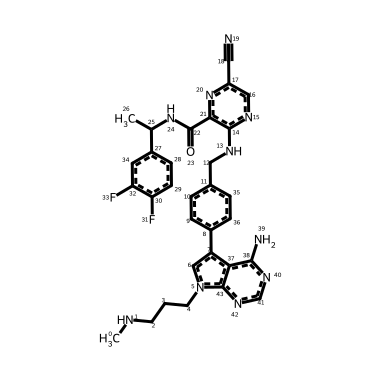 CNCCCn1cc(-c2ccc(CNc3ncc(C#N)nc3C(=O)NC(C)c3ccc(F)c(F)c3)cc2)c2c(N)ncnc21